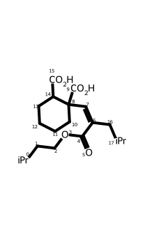 CC(C)CCOC(=O)C(=CC1(C(=O)O)CCCCC1C(=O)O)CC(C)C